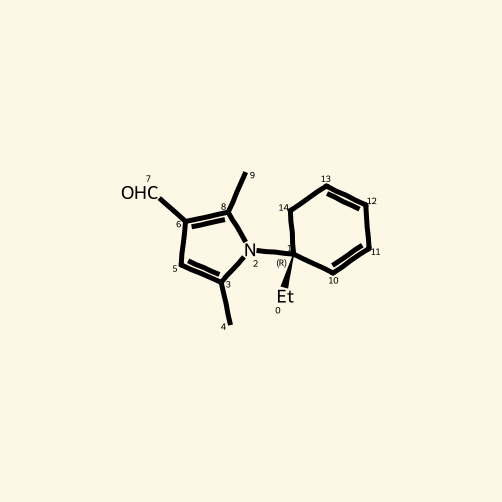 CC[C@]1(n2c(C)cc(C=O)c2C)C=CC=CC1